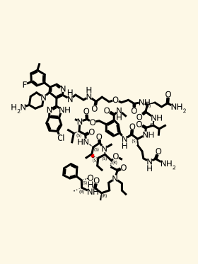 CCCN(CC[C@@H](C)C(=O)N[C@H](C)[C@@H](O)c1ccccc1)C(=O)C[C@@H](OC)[C@H]([C@@H](C)CC)N(C)C(=O)[C@@H](NC(=O)[C@H](C(C)C)N(C)C(=O)OCc1ccc(NC(=O)[C@H](CCCNC(N)=O)NC(=O)[C@@H](NC(=O)[C@H](CCC(N)=O)NC(=O)CCOCCC(=O)NCCNc2ncc(-c3cc(C)cc(F)c3)c(N3CCC(N)CC3)c2-c2nc3ccc(Cl)cc3[nH]2)C(C)C)cc1C(=O)NC)C(C)C